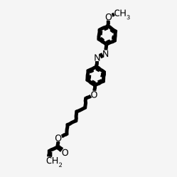 C=CC(=O)OCCCCCCOc1ccc(N=Nc2ccc(OC)cc2)cc1